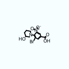 O=C(O)c1cc(Br)c(N2CCCC(O)C2)c([N+](=O)[O-])c1